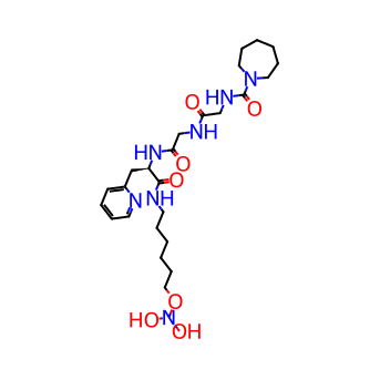 O=C(CNC(=O)N1CCCCCC1)NCC(=O)N[C@H](Cc1ccccn1)C(=O)NCCCCCCON(O)O